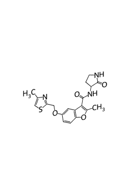 Cc1csc(COc2ccc3oc(C)c(C(=O)NC4CCNC4=O)c3c2)n1